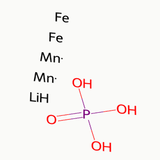 O=P(O)(O)O.[Fe].[Fe].[LiH].[Mn].[Mn]